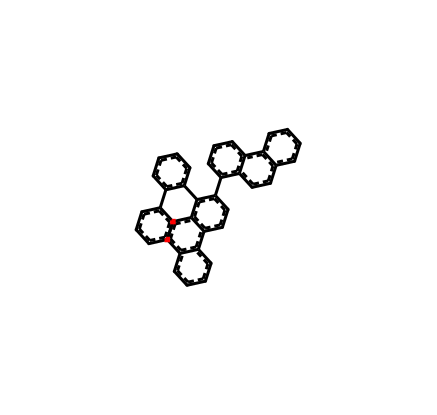 c1ccc(-c2ccccc2-c2c(-c3cccc4c3ccc3ccccc34)ccc3c2ccc2ccccc23)cc1